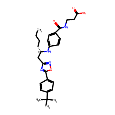 CCCC[C@@H](Cc1noc(-c2ccc(C(C)(C)C)cc2)n1)Nc1ccc(C(=O)NCCC(=O)O)cc1